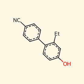 CCc1cc(O)ccc1-c1ccc(C#N)cc1